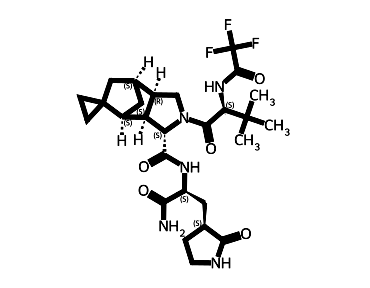 CC(C)(C)[C@H](NC(=O)C(F)(F)F)C(=O)N1C[C@@H]2[C@H]3C[C@@H]([C@@H]2[C@H]1C(=O)N[C@@H](C[C@@H]1CCNC1=O)C(N)=O)C1(CC1)C3